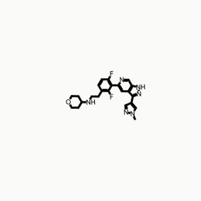 Cn1cc(-c2n[nH]c3cnc(-c4c(F)ccc(CCNC5CCOCC5)c4F)cc23)cn1